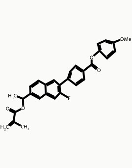 C=C(C)C(=O)OC(C)c1ccc2cc(-c3ccc(C(=O)Oc4ccc(OC)cc4)cc3)c(F)cc2c1